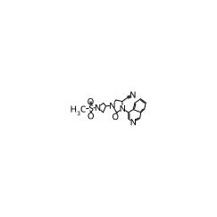 CS(=O)(=O)N1CC(N2CC(C#N)N(c3cncc4ccccc34)C2=O)C1